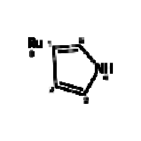 [Ru].c1cc[nH]c1